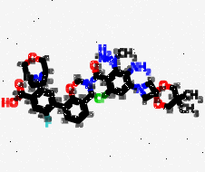 CN(N)c1c(N)c(N2CC3(C2)OCC(C)(C)CO3)cc(Cl)c1C(=O)N1COc2c(cccc2-c2cc(N3B4CCC3COC4)c(C(=O)O)cc2F)C1